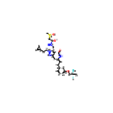 C[S+]([O-])CC(=O)NCc1c2c(nn1CCC1CC1)C[C@H](CCc1cccc(OCC(C)(F)F)c1)NC2=O